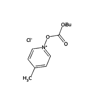 Cc1cc[n+](OC(=O)OCC(C)C)cc1.[Cl-]